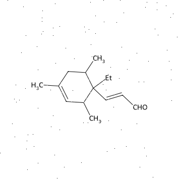 CCC1(C=CC=O)C(C)C=C(C)CC1C